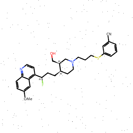 COc1ccc2nccc([C@H](F)CC[C@@H]3CCN(CCCSc4cccc(C#N)c4)C[C@@H]3CO)c2c1